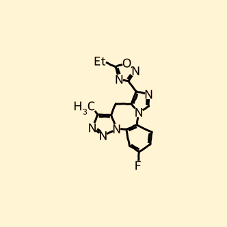 CCc1nc(-c2ncn3c2Cc2c(C)nnn2-c2cc(F)ccc2-3)no1